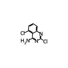 Nc1nc(Cl)nc2cccc(Cl)c12